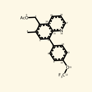 CC(=O)OCc1c(C)cc(-c2ccc(OC(F)(F)F)cc2)c2ncccc12